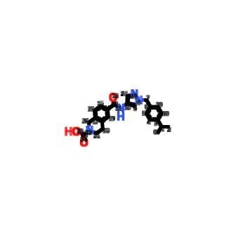 CC(C)c1ccc(Cn2cc(NC(=O)c3ccc4c(c3)CCN(C(=O)O)C4)cn2)cc1